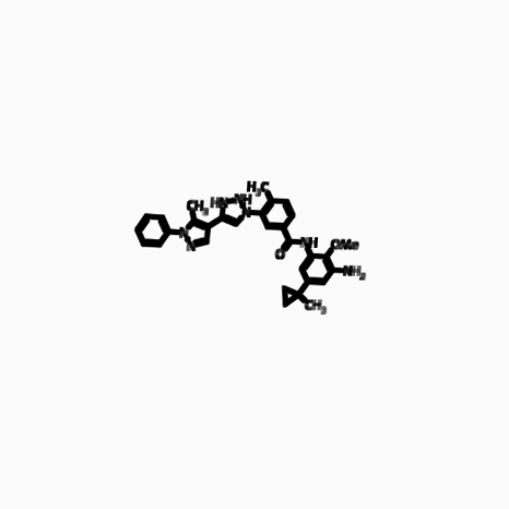 COc1c(N)cc(C2(C)CC2)cc1NC(=O)c1ccc(C)c(N2C=C(c3cnn(-c4ccccc4)c3C)NN2)c1